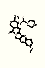 CC[C@@]1(OC(=O)N2CCNCC2)C(=O)OCc2c1cc1n(c2=O)Cc2cc3cc(OC)ccc3nc2-1